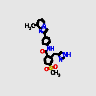 Cc1cccn2cc(-c3ccc(NC(=O)c4ccc(S(C)(=O)=O)cc4Cc4c[nH]cn4)cc3)nc12